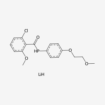 COCCOc1ccc(PC(=O)c2c(Cl)cccc2OC)cc1.[LiH]